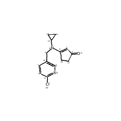 O=C1C=C(N(Cc2ccc(Cl)nc2)C2CC2)CC1